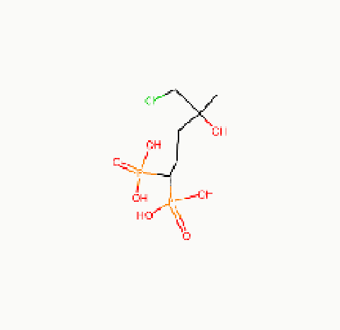 CC(O)(CCl)CCC(P(=O)(O)O)P(=O)(O)O